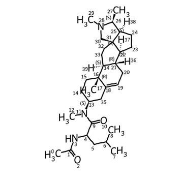 CC(=O)NC(CC(C)C)C(=O)N(C)[C@H]1CC[C@@]2(C)C(=CC[C@H]3[C@@H]4CC[C@@H]5[C@H](C)N(C)C[C@@]54CC[C@@H]32)C1